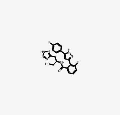 O=C(N[C@@H](CO)Cc1nn[nH]n1)c1cccc(F)c1-c1cc(-c2ccc(F)cc2)[nH]n1